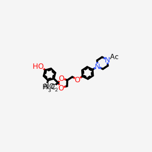 CC(=O)N1CCN(c2ccc(OCC3COC(C)(c4ccc(O)cc4[N+](=O)[O-])O3)cc2)CC1